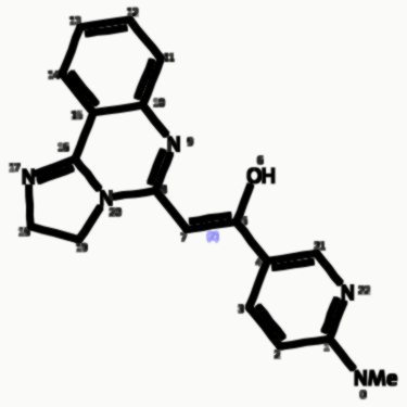 CNc1ccc(/C(O)=C/C2=Nc3ccccc3C3=NCCN23)cn1